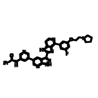 CC(C)C(=O)Nc1cncc(-c2cnc3[nH]nc(-c4nc5c(-c6cc(F)cc(OCCN7CCCC7)c6)nccc5[nH]4)c3c2)c1